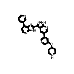 c1cncc(-c2ccnc3[nH]c(-c4n[nH]c5ncc(-c6cncc(OC7CCNCC7)c6)cc45)nc23)c1